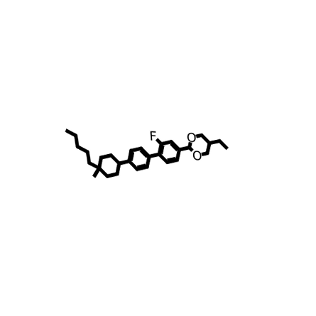 CCCCCC1(C)CCC(c2ccc(-c3ccc(C4OCC(CC)CO4)cc3F)cc2)CC1